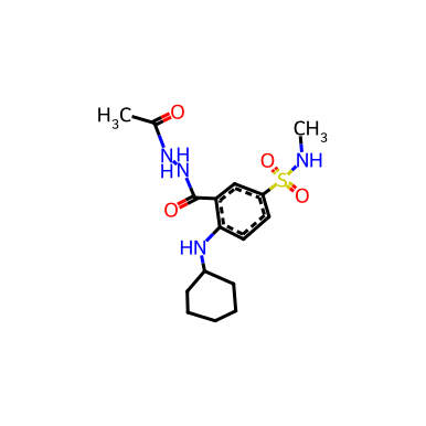 CNS(=O)(=O)c1ccc(NC2CCCCC2)c(C(=O)NNC(C)=O)c1